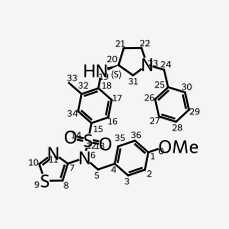 COc1ccc(CN(c2cscn2)S(=O)(=O)c2ccc(N[C@H]3CCN(Cc4ccccc4)C3)c(C)c2)cc1